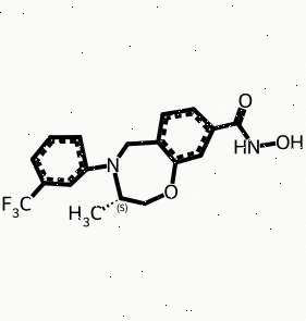 C[C@H]1COc2cc(C(=O)NO)ccc2CN1c1cccc(C(F)(F)F)c1